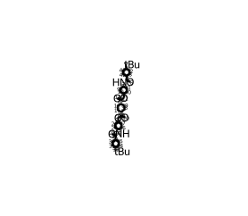 CC(C)(C)c1ccc(C(=O)Nc2ccc(OC(=O)[C@H]3CC[C@H](C(=O)Oc4ccc(NC(=O)c5ccc(C(C)(C)C)cc5)cc4)CC3)cc2)cc1